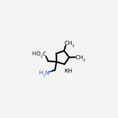 CC1CC(CN)(CC(=O)O)CC1C.[KH]